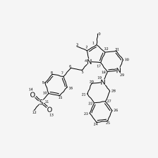 Cc1c(C)n(CCc2ccc(S(C)(=O)=O)cc2)c2c(N3CCc4ccccc4C3)nccc12